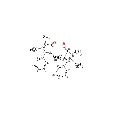 CC1=C(C)C(c2ccccc2)C(C)C1=O.CC1=C(c2ccccc2)C(C)C(C)C1=O